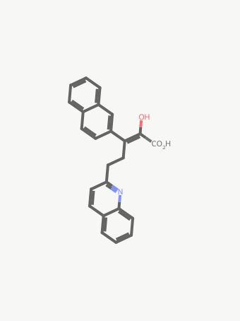 O=C(O)/C(O)=C(\CCc1ccc2ccccc2n1)c1ccc2ccccc2c1